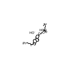 CC(C)CCC[C@@H](C)[C@H]1CCC2C3CC=C4C[C@@H](OCCOP(=O)(O)OCC[N+](C)(C)C)CC[C@]4(C)C3CC[C@@]21C.[OH-]